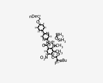 CCCCCCCCCCCOc1ccc(-c2cnc(OC(=O)c3cc([N+](=O)[O-])c(OC(=O)[C@H](F)CCCC)c(C)c3N(C)C)cn2)cc1.[SiH3]O[SiH3]